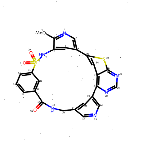 COc1ncc2cc1NS(=O)(=O)c1cccc(c1)C(=O)NCc1cncc(c1)-c1ncnc3sc-2cc13